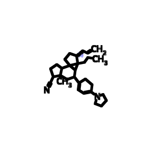 C=C/C=C1/CCC23C4CCC(C#N)C4(C)CC(C4=CC=C(N5CCCC5)CC4)C2C13CCC